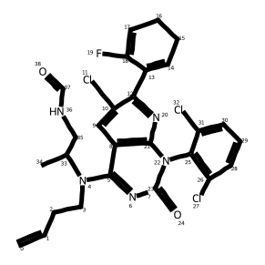 C=CCCN(/C(=N/C)c1cc(Cl)c(C2=CCCC=C2F)nc1N(C=O)c1c(Cl)cccc1Cl)C(C)CNC=O